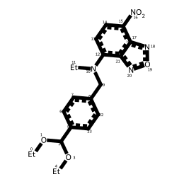 CCOC(OCC)c1ccc(CN(CC)c2ccc([N+](=O)[O-])c3nonc23)cc1